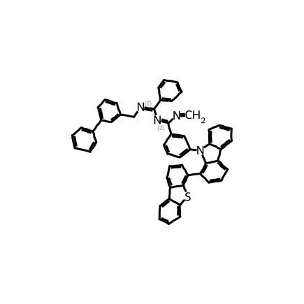 C=N/C(=N\C(=N/Cc1cccc(-c2ccccc2)c1)c1ccccc1)c1cccc(-n2c3ccccc3c3cccc(-c4cccc5c4sc4ccccc45)c32)c1